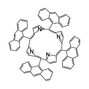 C1=CC2=C(c3c4ccccc4cc4ccccc34)C3=NC(=C(c4c5ccccc5cc5ccccc45)C4=NC(=C(c5c6ccccc6cc6ccccc56)C5=NC(=C(c6c7ccccc7cc7ccccc67)C1=N2)C=C5)C=C4)C=C3